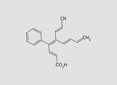 C=CC=CC(C=CC#N)=C(C=CC(=O)O)c1ccccc1